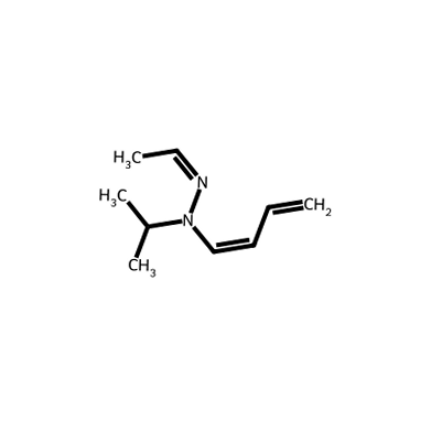 C=C/C=C\N(/N=C\C)C(C)C